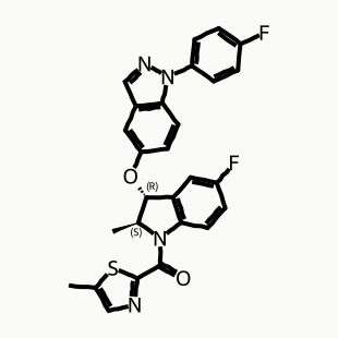 Cc1cnc(C(=O)N2c3ccc(F)cc3[C@@H](Oc3ccc4c(cnn4-c4ccc(F)cc4)c3)[C@@H]2C)s1